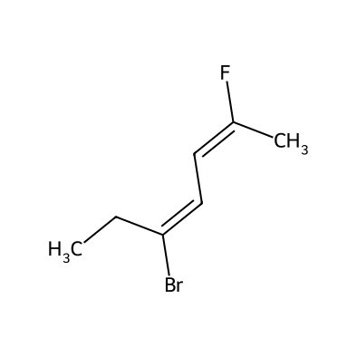 CC/C(Br)=C\C=C(/C)F